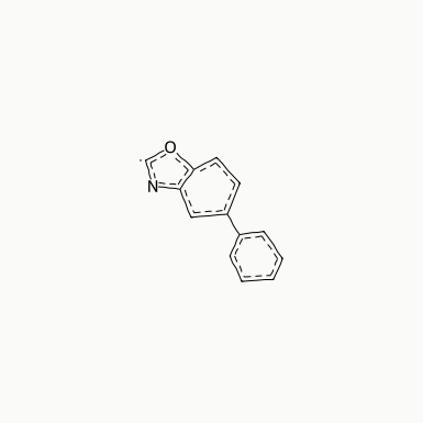 [c]1nc2cc(-c3ccccc3)ccc2o1